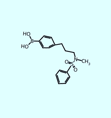 CN(CCCc1ccc(B(O)O)cc1)S(=O)(=O)c1ccccc1